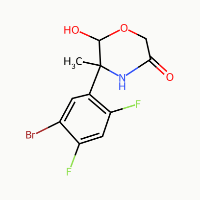 CC1(c2cc(Br)c(F)cc2F)NC(=O)COC1O